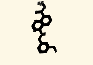 COC(=O)c1cccc2c(NCc3cccc(CF)c3)ncnc12